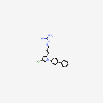 N=C(N)N/N=C/C=C/c1cc(Cl)cn1-c1ccc(-c2ccccc2)cc1